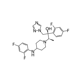 C[C@@H](N1CCC(Nc2ccc(F)cc2F)CC1)[C@](O)(Cn1cncn1)c1ccc(F)cc1F